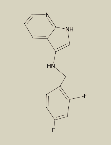 Fc1ccc(CNc2c[nH]c3ncccc23)c(F)c1